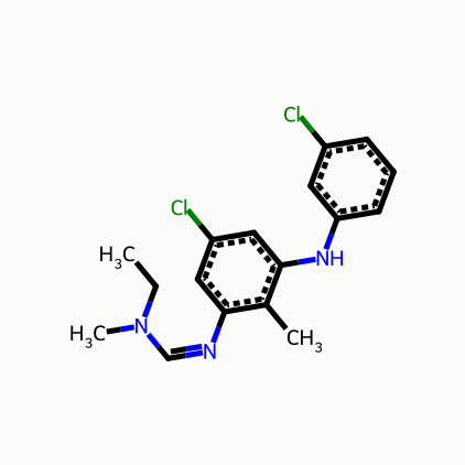 CCN(C)/C=N\c1cc(Cl)cc(Nc2cccc(Cl)c2)c1C